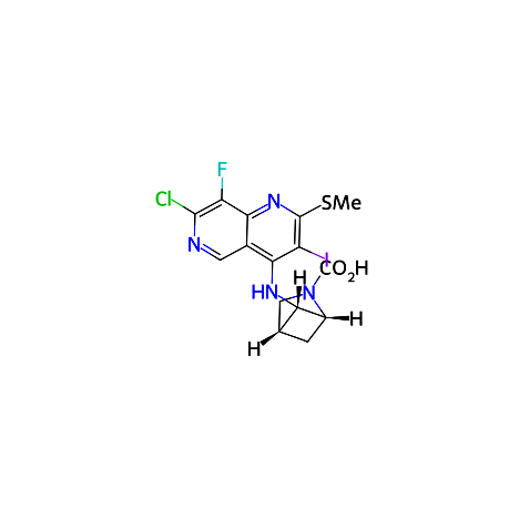 CSc1nc2c(F)c(Cl)ncc2c(N[C@H]2[C@@H]3C[C@H]2N(C(=O)O)C3)c1I